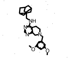 COc1cc(CN2CCc3c(ncnc3NCC34CC5CC(CC(C5)C3)C4)C2)cc(OC)c1